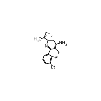 C=C(C)c1cc(N)c(F)c(-c2cccc(CC)c2F)n1